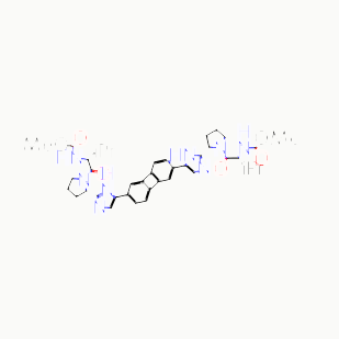 COC(=O)N[C@H](C(=O)N1CCC[C@H]1c1ncc(-c2ccc3c(c2)-c2ccc(-c4cnc([C@@H]5CCCN5C(=O)[C@@H](NC(=O)OC)C(C)C)[nH]4)cc2-3)[nH]1)C(C)C